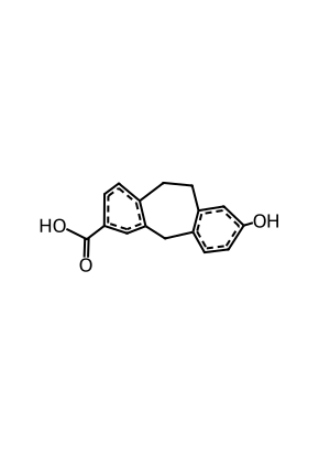 O=C(O)c1ccc2c(c1)Cc1ccc(O)cc1CC2